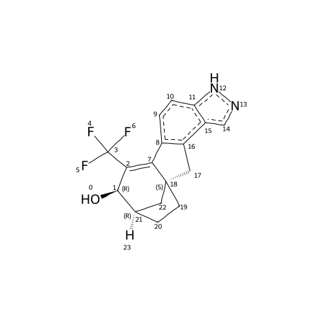 O[C@H]1C(C(F)(F)F)=C2c3ccc4[nH]ncc4c3C[C@@]23CC[C@@H]1C3